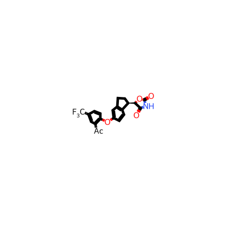 CC(=O)c1cc(C(F)(F)F)ccc1Oc1ccc2c(c1)CC[C@H]2C1OC(=O)NC1=O